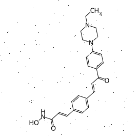 CCN1CCN(c2ccc(C(=O)C=Cc3ccc(C=CC(=O)NO)cc3)cc2)CC1